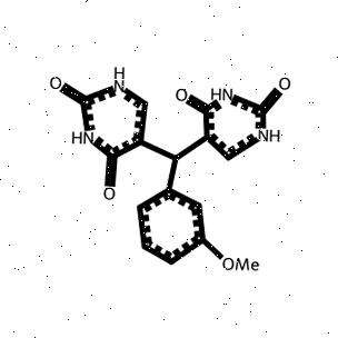 COc1cccc(C(c2c[nH]c(=O)[nH]c2=O)c2c[nH]c(=O)[nH]c2=O)c1